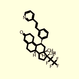 C[C@]12C[C@H](c3cccc(/C=C/c4cccnc4)c3)C3=C4CCC(=O)C=C4CC[C@H]3[C@@H]1CC[C@@]2(O)C(F)(F)C(F)(F)F